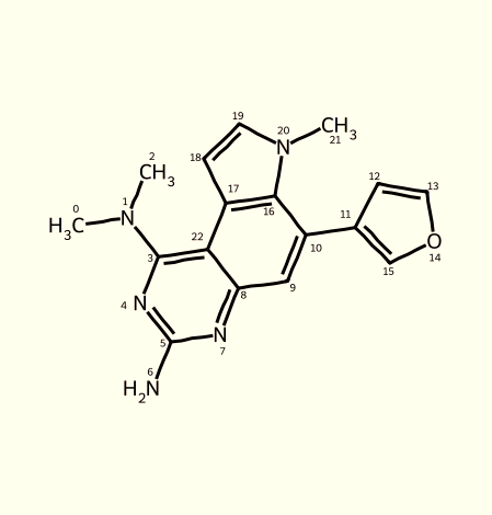 CN(C)c1nc(N)nc2cc(-c3ccoc3)c3c(ccn3C)c12